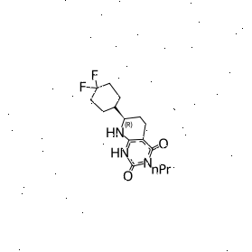 CCCn1c(=O)[nH]c2c(c1=O)CC[C@H](C1CCC(F)(F)CC1)N2